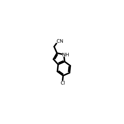 N#CCc1cc2cc(Cl)ccc2[nH]1